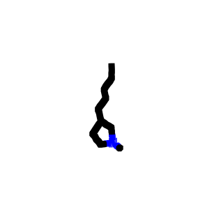 CCCCCC1CCN(C)C1